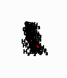 CC(C)C[C@@H](C(=O)N(C)[C@H](C(=O)N[C@@H](Cc1ccccc1)C(=O)N[C@@H](CC(=O)OSCc1ccccc1)C(=O)N(C)[C@@H](Cc1ccccc1)C(=O)N[C@@H](C)C(=O)O)C(C)C)N(C)C(=O)CNC(=O)[C@H](Cc1ccccc1)N(C)C(=O)[C@@H](NC(=O)[C@H](CC(C)C)N(C)C(=O)[C@@H](NC(=O)[C@H](C)N)C(C)C)[C@@H](C)O